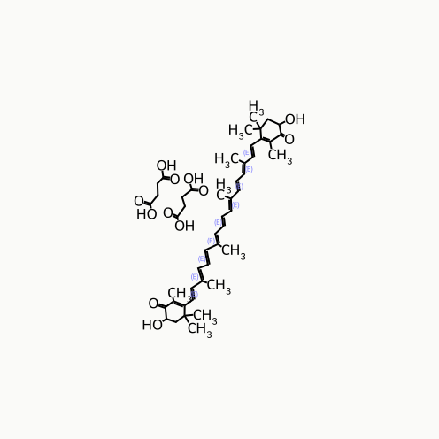 CC1=C(/C=C/C(C)=C/C=C/C(C)=C/C=C/C=C(C)/C=C/C=C(C)/C=C/C2=C(C)C(=O)C(O)CC2(C)C)C(C)(C)CC(O)C1=O.O=C(O)CCC(=O)O.O=C(O)CCC(=O)O